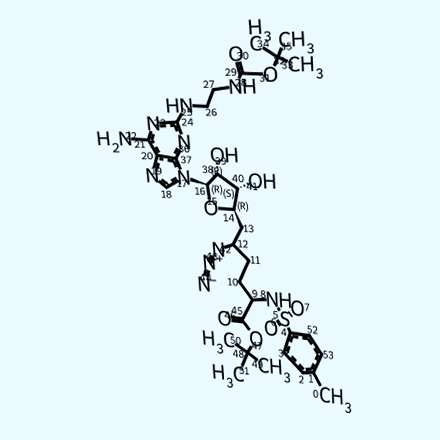 Cc1ccc(S(=O)(=O)NC(CCC(C[C@H]2O[C@@H](n3cnc4c(N)nc(NCCNC(=O)OC(C)(C)C)nc43)[C@H](O)[C@@H]2O)N=[N+]=[N-])C(=O)OC(C)(C)C)cc1